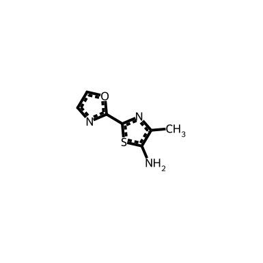 Cc1nc(-c2ncco2)sc1N